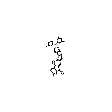 Cc1cc(C)cc(N(c2cc(C)cc(C)c2)c2ccc3c(c2)sc2cc(C=C4C(=O)c5cc(C)c(C)cc5C4=O)sc23)c1